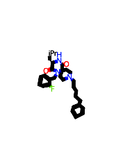 CC(C)C[C@@H]1NC(=O)C2(CCN(CCCCCc3ccccc3)CC2)N(Cc2ccccc2F)C1=O